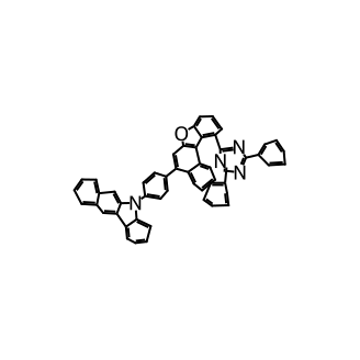 c1ccc(-c2nc(-c3ccccc3)nc(-c3cccc4oc5cc(-c6ccc(-n7c8ccccc8c8cc9ccccc9cc87)cc6)c6ccccc6c5c34)n2)cc1